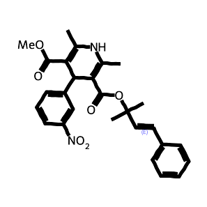 COC(=O)C1=C(C)NC(C)=C(C(=O)OC(C)(C)/C=C/c2ccccc2)C1c1cccc([N+](=O)[O-])c1